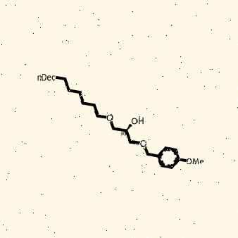 CCCCCCCCCCCCCCCCOC[C@@H](O)COCc1ccc(OC)cc1